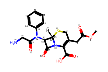 COC(=O)CC1=C(C(=O)O)N2C(=O)[C@@H](N(C(=O)CN)c3ccccc3)[C@@H]2SC1